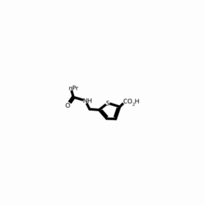 CCCC(=O)NCc1ccc(C(=O)O)s1